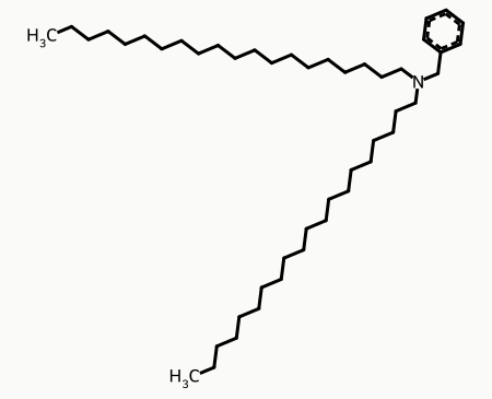 CCCCCCCCCCCCCCCCCCCCN(CCCCCCCCCCCCCCCCCCCC)Cc1ccccc1